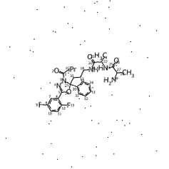 CC(C)C(=O)N1N=C(c2cc(F)ccc2F)OC1(CCCNC(=O)C(C)NC(=O)C(C)N)c1ccccc1